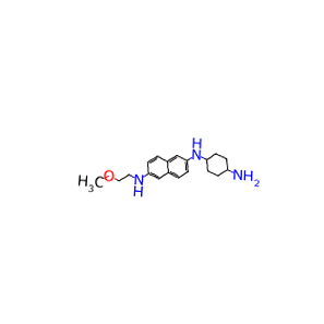 COCCNc1ccc2cc(NC3CCC(N)CC3)ccc2c1